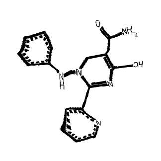 NC(=O)C1=C(O)N=C(c2ccccn2)N(Nc2ccccc2)C1